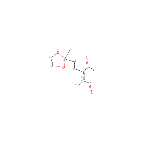 CC(=O)/C(CCC1(C)OCCO1)=C(/C)C=O